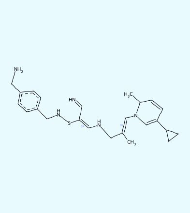 C/C(=C\N1C=C(C2CC2)C=CC1C)CN/C=C(\C=N)SNCc1ccc(CN)cc1